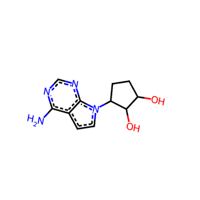 Nc1ncnc2c1ccn2C1CCC(O)C1O